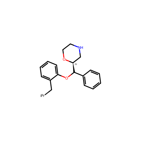 CC(C)Cc1ccccc1OC(c1ccccc1)[C@@H]1CNCCO1